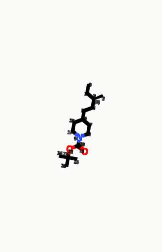 CC[C@@H](C)CCC1CCN(C(=O)OC(C)(C)C)CC1